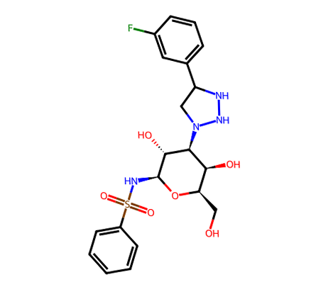 O=S(=O)(N[C@@H]1O[C@H](CO)[C@H](O)[C@H](N2CC(c3cccc(F)c3)NN2)[C@H]1O)c1ccccc1